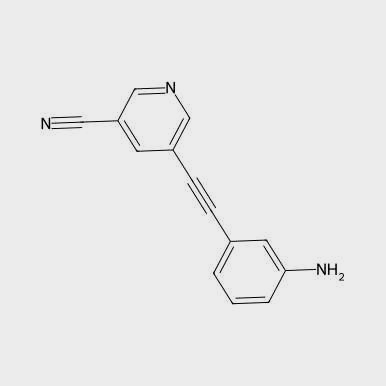 N#Cc1cncc(C#Cc2cccc(N)c2)c1